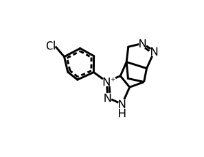 Clc1ccc([N+]2=NNC3C4CC5(CN=NC45)C32)cc1